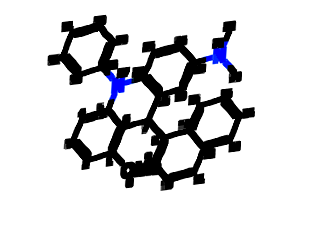 COc1cccc2c1C(c1cccc3ccccc13)c1cc(N(C)C)ccc1N2c1ccccc1